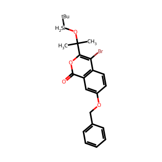 CC(C)(C)[SiH2]OC(C)(C)c1oc(=O)c2cc(OCc3ccccc3)ccc2c1Br